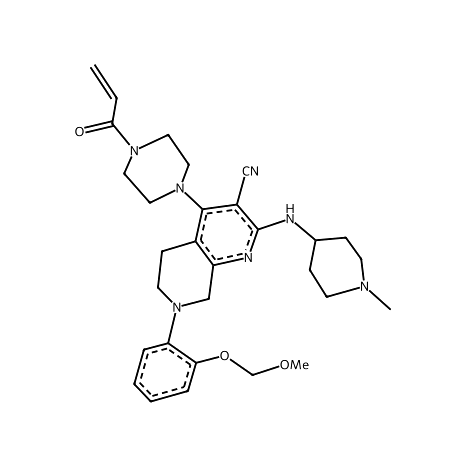 C=CC(=O)N1CCN(c2c(C#N)c(NC3CCN(C)CC3)nc3c2CCN(c2ccccc2OCOC)C3)CC1